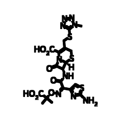 Cn1nnnc1SCC1=C(C(=O)O)N2C(=O)[C@H](NC(=O)/C(=N\OC(C)(C)C(=O)O)c3csc(N)n3)[C@@H]2SC1